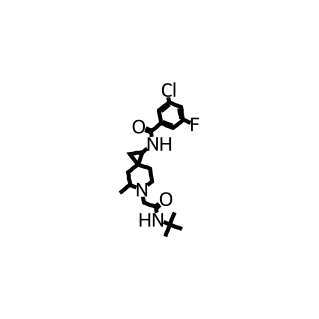 CC1CC2(CCN1CC(=O)NC(C)(C)C)CC2NC(=O)c1cc(F)cc(Cl)c1